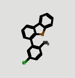 Cc1ccc(Cl)cc1-c1cccc2c1sc1ccccc12